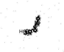 CCC(Oc1ccc(CC2=CC=CCC2=NOCc2nc(-c3ccc(C)cc3)oc2C)cc1C)C(=O)O